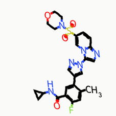 Cc1cc(F)c(C(=O)NC2CC2)cc1-c1cnn(-c2cnc3ccc(S(=O)(=O)N4CCOCC4)cn23)c1